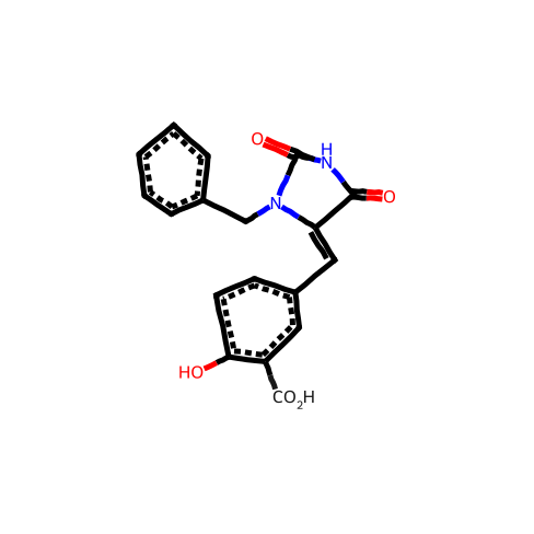 O=C1NC(=O)N(Cc2ccccc2)/C1=C\c1ccc(O)c(C(=O)O)c1